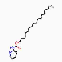 CCCCCCCCCCCCCCCCOC(=O)Nc1ccccn1